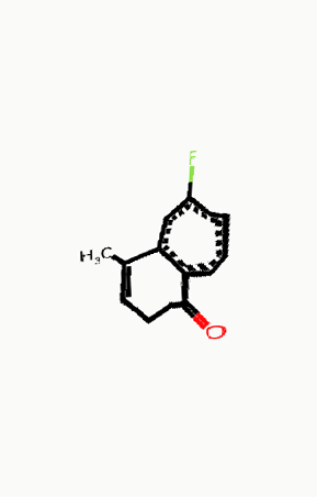 CC1=CCC(=O)c2ccc(F)cc21